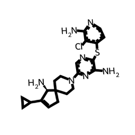 Nc1nc(N2CCC3(CC=C(C4CC4)[C@H]3N)CC2)cnc1Sc1ccnc(N)c1Cl